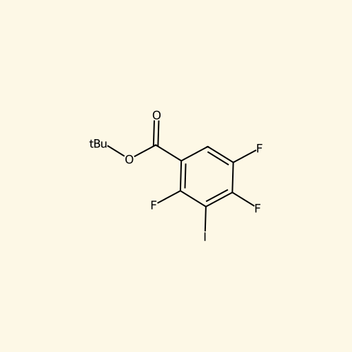 CC(C)(C)OC(=O)c1cc(F)c(F)c(I)c1F